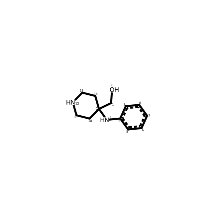 OCC1(Nc2ccccc2)CCNCC1